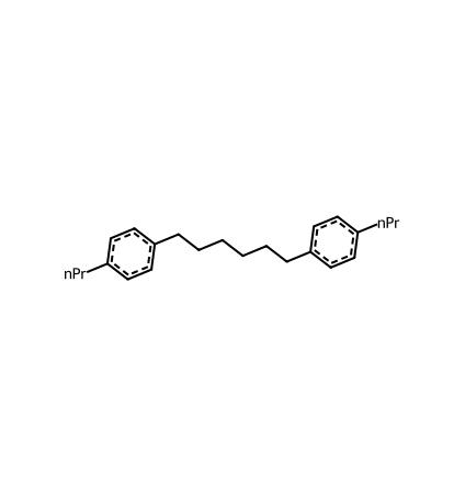 CCCc1ccc(CCCCCCc2ccc(CCC)cc2)cc1